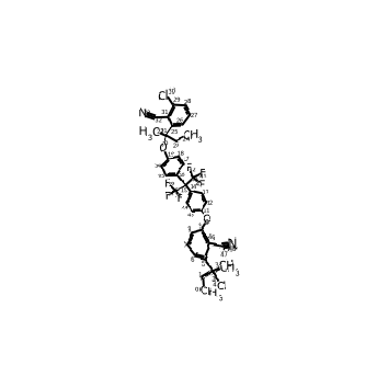 CCC(C)(Cl)c1cccc(Oc2ccc(C(c3ccc(OC(C)(CC)c4cccc(Cl)c4C#N)cc3)(C(F)(F)F)C(F)(F)F)cc2)c1C#N